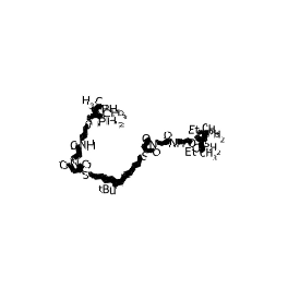 CCOC(C)(P)CC(COCCCNC(=O)CCN1C(=O)CC(SCCCCCCC(CCCCCSC2CC(=O)N(CCC(=O)NCCCOCC(CC(C)P)C(C)P)C2=O)C(C)(C)C)C1=O)C(C)(P)OCC